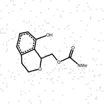 CNC(=O)OCC1OCCc2cccc(O)c21